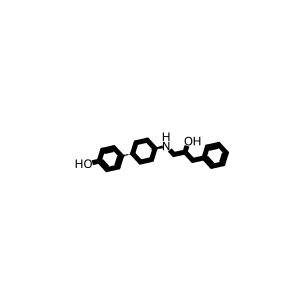 Oc1ccc([C@H]2CC[C@H](NCC(O)Cc3ccccc3)CC2)cc1